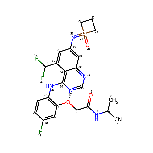 CC(C#N)NC(=O)COc1cc(F)ccc1Nc1ncnc2cc(N=S3(=O)CCC3)cc(C(F)F)c12